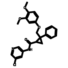 COc1ccc(OCC2(c3ccccc3)CC2C(=O)Nc2cncc(Cl)c2)cc1OC